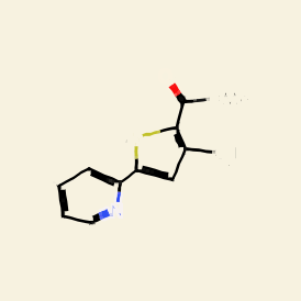 COC(=O)c1sc(-c2ccccn2)cc1C